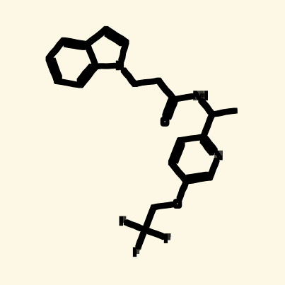 CC(NC(=O)CCn1ccc2ccccc21)c1ccc(OCC(F)(F)F)cn1